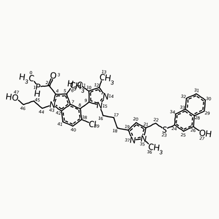 CPC(=O)c1c(C)c2c(-c3c(C)c(C)nn3CCCc3cc(CSc4cc(O)c5ccccc5c4)n(C)n3)c(Cl)ccc2n1CCCO